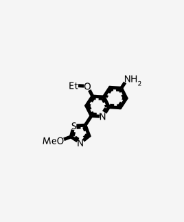 CCOc1cc(-c2cnc(OC)s2)nc2ccc(N)cc12